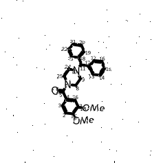 COc1ccc(C(=O)N2CCN(C(c3ccccc3)c3ccccc3)CC2)cc1OC